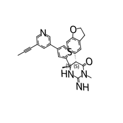 CC#Cc1cncc(-c2csc([C@@]3(C)NC(=N)N(C)C(=O)[C@H]3c3ccc4c(c3)CCO4)c2)c1